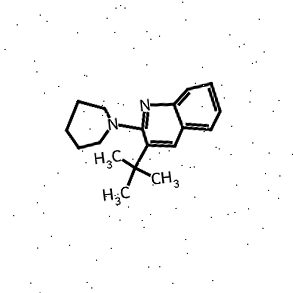 CC(C)(C)c1cc2ccccc2nc1N1CCCCC1